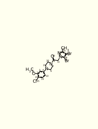 COc1cc(N2CCN(C(=O)Cn3nc(C)c(Br)c3Br)CC2)ccc1Cl